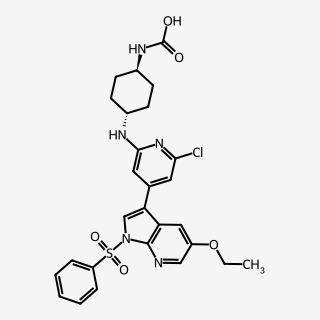 CCOc1cnc2c(c1)c(-c1cc(Cl)nc(N[C@H]3CC[C@H](NC(=O)O)CC3)c1)cn2S(=O)(=O)c1ccccc1